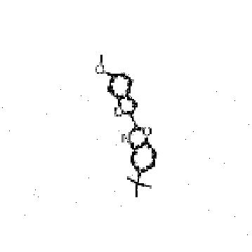 COc1ccc2cc(-c3nc4cc(C(C)(C)C)ccc4o3)oc2c1